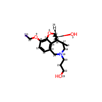 CC1[C@H](O)C[C@@H]2Oc3c(OCI)ccc4c3[C@]12CCN(CCCO)C4